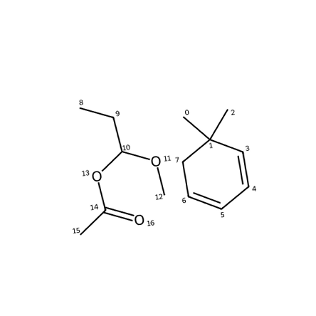 CC1(C)C=CC=CC1.CCC(OC)OC(C)=O